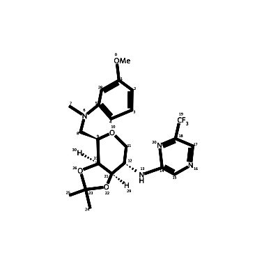 COc1cccc(N(C)C[C@H]2OC[C@H](Nc3cncc(C(F)(F)F)n3)[C@H]3OC(C)(C)O[C@H]32)c1